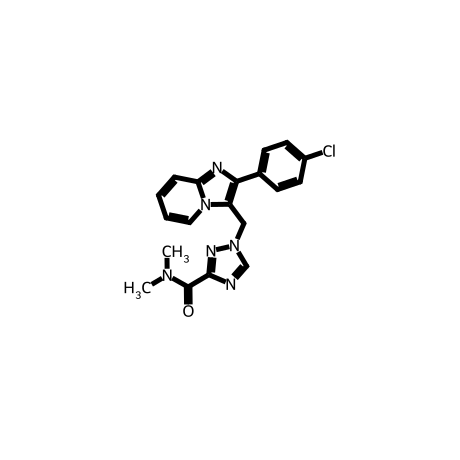 CN(C)C(=O)c1ncn(Cc2c(-c3ccc(Cl)cc3)nc3ccccn23)n1